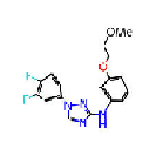 COCCOc1cccc(Nc2ncn(-c3ccc(F)c(F)c3)n2)c1